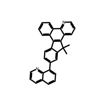 CC1(C)c2cc(-c3cccc4cccnc34)ccc2-c2c1c1cccnc1c1ccccc21